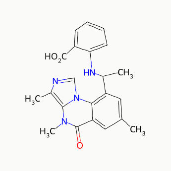 Cc1cc(C(C)Nc2ccccc2C(=O)O)c2c(c1)c(=O)n(C)c1c(C)ncn21